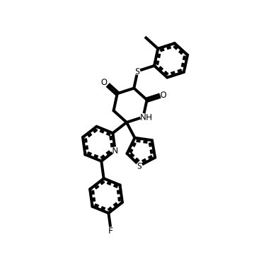 Cc1ccccc1SC1C(=O)CC(c2ccsc2)(c2cccc(-c3ccc(F)cc3)n2)NC1=O